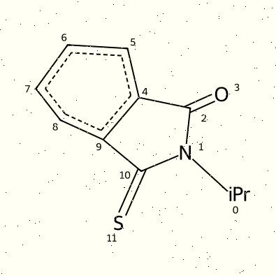 CC(C)N1C(=O)c2ccccc2C1=S